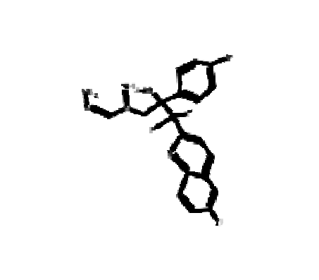 N/N=C\N(N)CC(O)(c1ccc(F)cc1)C(F)(F)c1ccc2cc(Cl)ccc2n1